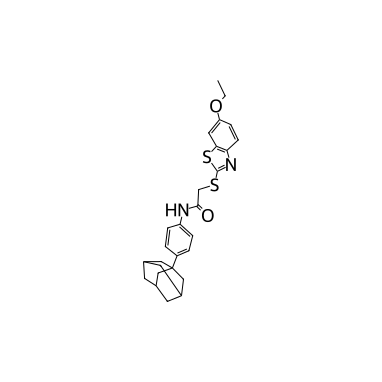 CCOc1ccc2nc(SCC(=O)Nc3ccc(C45CC6CC(CC(C6)C4)C5)cc3)sc2c1